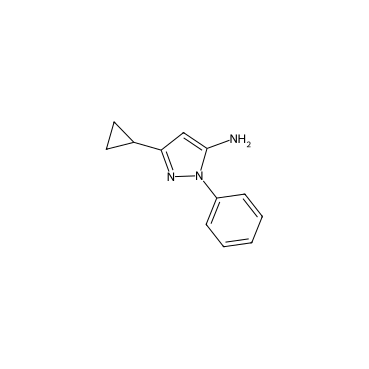 Nc1cc(C2CC2)nn1-c1ccccc1